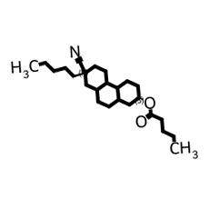 CCCCC[C@@]1(C#N)CCC2C(CCC3C[C@@H](OC(=O)CCCC)CCC32)C1